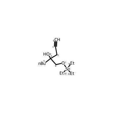 C#CCC(O)(CCCC)CO[Si](CC)(CC)CC